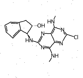 CNc1nc(N[C@H]2c3ccccc3C[C@@H]2O)nc2c(NC)nc(Cl)nc12